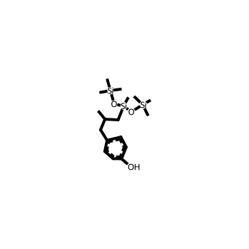 CC(Cc1ccc(O)cc1)C[Si](C)(O[Si](C)(C)C)O[Si](C)(C)C